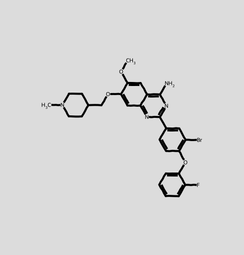 COc1cc2c(N)nc(-c3ccc(Oc4ccccc4F)c(Br)c3)nc2cc1OCC1CCN(C)CC1